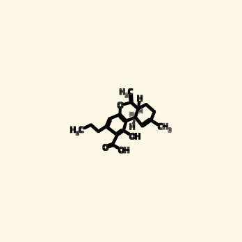 C=C1Oc2cc(CCC)c(C(=O)O)c(O)c2[C@@H]2C=C(C)CC[C@@H]12